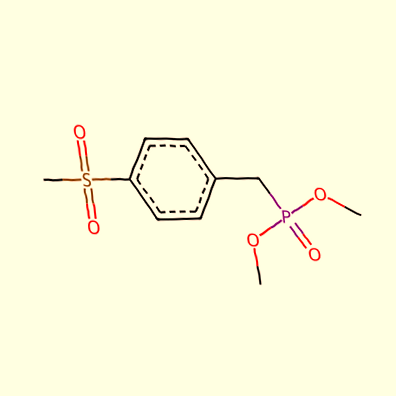 COP(=O)(Cc1ccc(S(C)(=O)=O)cc1)OC